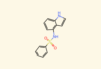 O=S(=O)(Nc1cccc2[nH]ccc12)c1cc[c]cc1